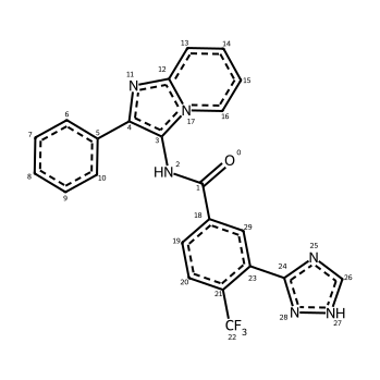 O=C(Nc1c(-c2ccccc2)nc2ccccn12)c1ccc(C(F)(F)F)c(-c2nc[nH]n2)c1